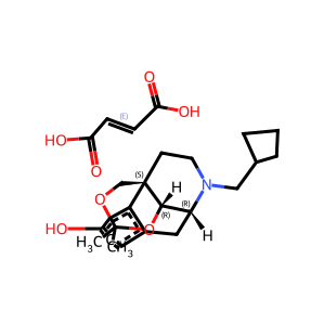 CC1(C)OC[C@]23CCN(CC4CCC4)[C@H](Cc4ccc(O)cc42)[C@@H]3O1.O=C(O)/C=C/C(=O)O